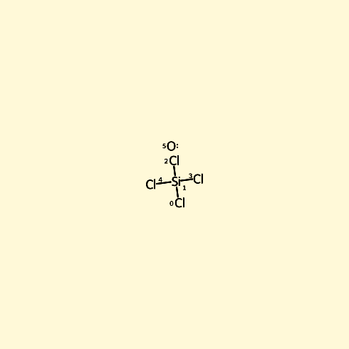 Cl[Si](Cl)(Cl)Cl.[O]